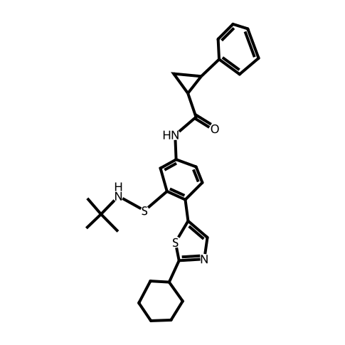 CC(C)(C)NSc1cc(NC(=O)C2CC2c2ccccc2)ccc1-c1cnc(C2CCCCC2)s1